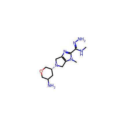 CN/C(=N\N)c1nc2c(n1C)CN([C@H]1COCC(N)C1)C2